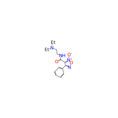 CCN(CC)CCNC(=O)c1c(-c2ccccc2)no[n+]1[O-]